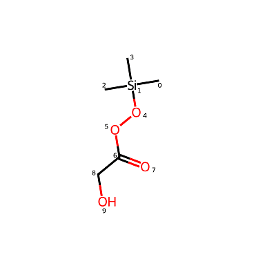 C[Si](C)(C)OOC(=O)CO